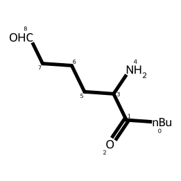 CCCCC(=O)C(N)CCCC=O